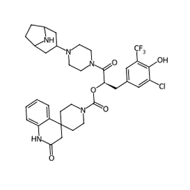 O=C1CC2(CCN(C(=O)O[C@H](Cc3cc(Cl)c(O)c(C(F)(F)F)c3)C(=O)N3CCN(C4CC5CCC(C4)N5)CC3)CC2)c2ccccc2N1